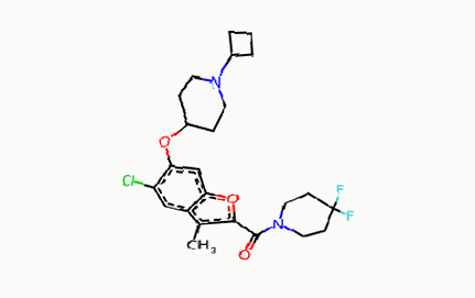 Cc1c(C(=O)N2CCC(F)(F)CC2)oc2cc(OC3CCN(C4CCC4)CC3)c(Cl)cc12